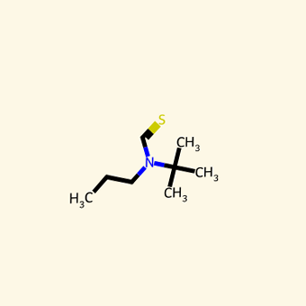 CCCN(C=S)C(C)(C)C